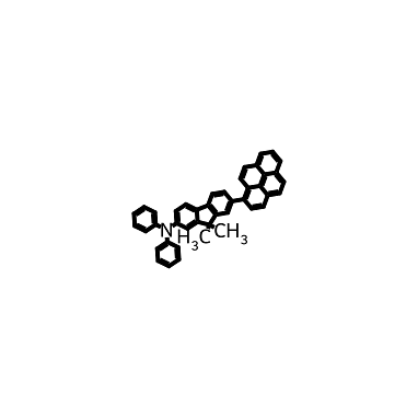 CC1(C)c2cc(-c3ccc4ccc5cccc6ccc3c4c56)ccc2-c2ccc(N(c3ccccc3)c3ccccc3)cc21